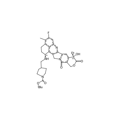 CC[C@@]1(O)C(=O)OCc2c1cc1n(c2=O)Cc2c-1nc1cc(F)c(C)c3c1c2[C@@H](NCC1CCN(C(=O)OC(C)(C)C)CC1)CC3